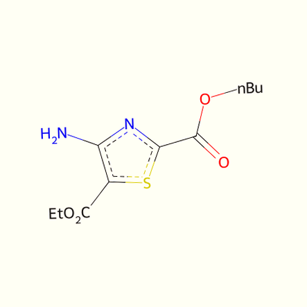 CCCCOC(=O)c1nc(N)c(C(=O)OCC)s1